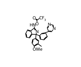 COc1ccc(C2(c3cccc(-c4cncnc4)c3)N=C(NOC(=O)C(F)(F)F)c3ccccc32)cc1C